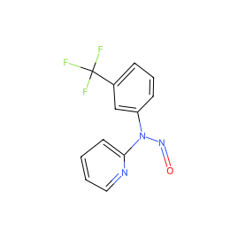 O=NN(c1cccc(C(F)(F)F)c1)c1ccccn1